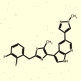 Cc1sc(Cc2cccc(F)c2F)nc1-c1c[nH]c2ncc(-c3cnn(C)c3)cc12